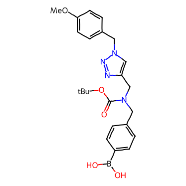 COc1ccc(Cn2cc(CN(Cc3ccc(B(O)O)cc3)C(=O)OC(C)(C)C)nn2)cc1